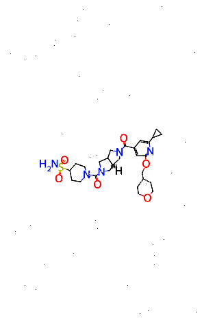 NS(=O)(=O)C1CCN(C(=O)N2CC3CN(C(=O)c4cc(OCC5CCOCC5)nc(C5CC5)c4)C[C@@H]3C2)CC1